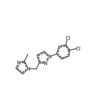 Cc1nccn1Cc1ccn(-c2ccc(Cl)c(Cl)c2)n1